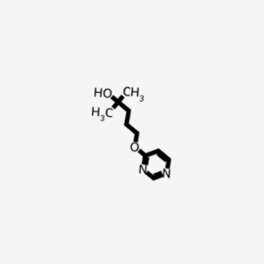 CC(C)(O)CCCOc1ccncn1